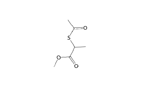 COC(=O)C(C)SC(C)=O